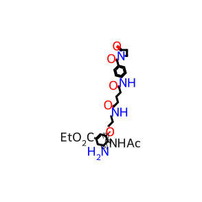 CCOC(=O)C1=C[C@@H](OCCCNC(=O)CCCC(=O)Nc2ccc(C(=O)N3CCC3=O)cc2)[C@H](NC(C)=O)[C@@H](N)C1